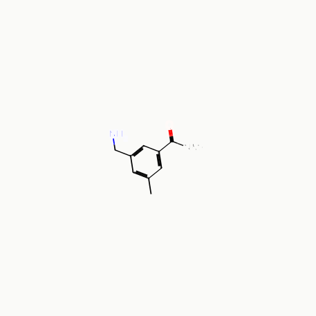 CNC(=O)c1cc(C)cc(CN)c1